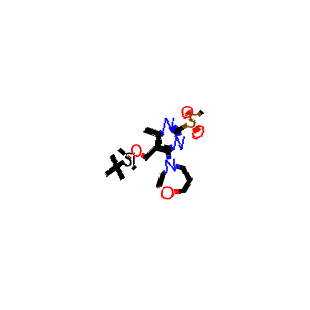 Cc1nc(S(C)(=O)=O)nc(N2CCCOCC2)c1CO[Si](C)(C)C(C)(C)C